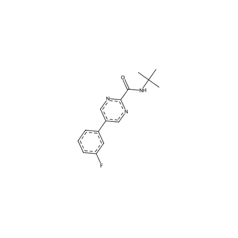 CC(C)(C)NC(=O)c1ncc(-c2cccc(F)c2)cn1